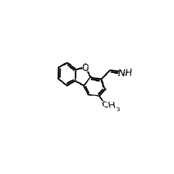 Cc1cc(C=N)c2oc3ccccc3c2c1